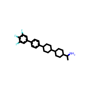 CC(N)C1CCC(C2CCC(c3ccc(-c4cc(F)c(F)c(F)c4)cc3)CC2)CC1